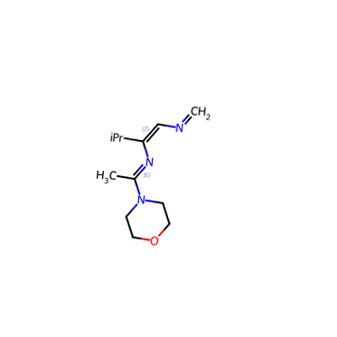 C=N/C=C(\N=C(/C)N1CCOCC1)C(C)C